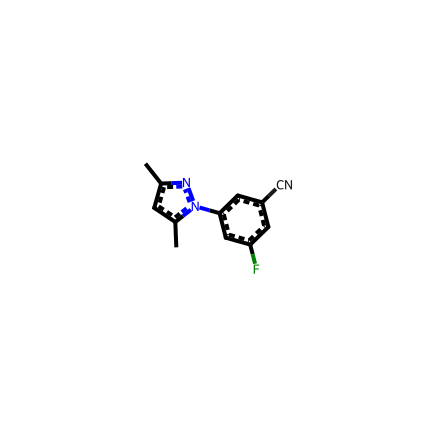 Cc1cc(C)n(-c2cc(F)cc(C#N)c2)n1